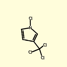 Cln1ccc(C(Cl)(Cl)Cl)c1